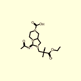 CCOC(=O)C(C)(C)CN1CC2CN(C(=O)O)CCN2/C1=N\C(C)=O